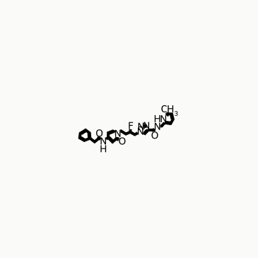 Cc1cccc(CNC(=O)c2cn(CC(F)CCn3ccc(NC(=O)Cc4ccccc4)cc3=O)nn2)n1